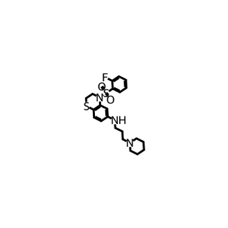 O=S(=O)(c1ccccc1F)N1CCSc2ccc(NCCCN3CCCCC3)cc21